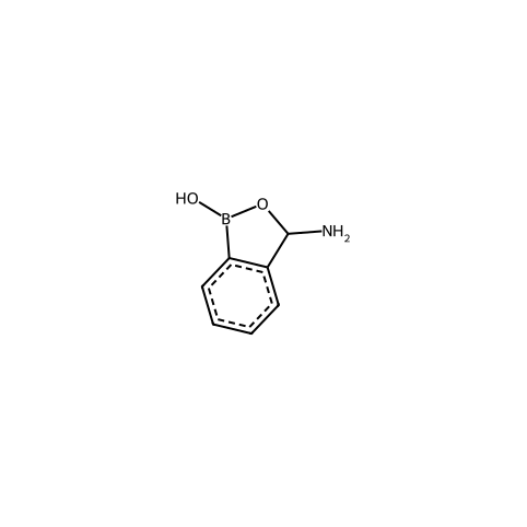 NC1OB(O)c2ccccc21